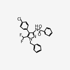 O=S(=O)(Nc1nn(Cc2ccccc2)c(C(F)F)c1-c1ccc(Cl)cc1)c1ccccc1